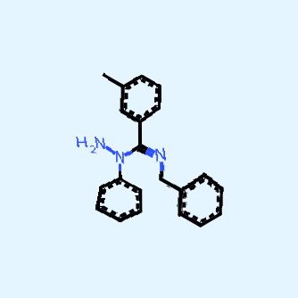 Cc1cccc(/C(=N/Cc2ccccc2)N(N)c2ccccc2)c1